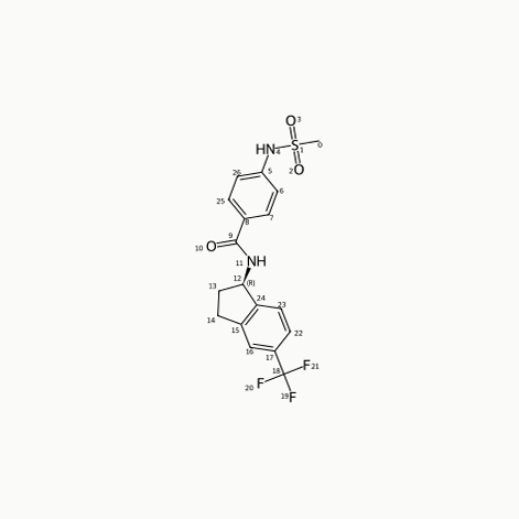 CS(=O)(=O)Nc1ccc(C(=O)N[C@@H]2CCc3cc(C(F)(F)F)ccc32)cc1